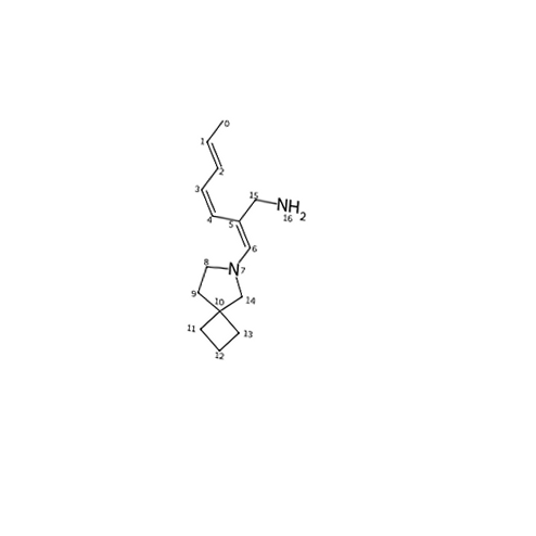 C/C=C/C=C\C(=C/N1CCC2(CCC2)C1)CN